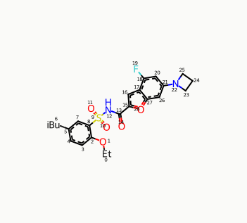 CCOc1ccc(C(C)CC)cc1S(=O)(=O)NC(=O)c1cc2c(F)cc(N3CCC3)cc2o1